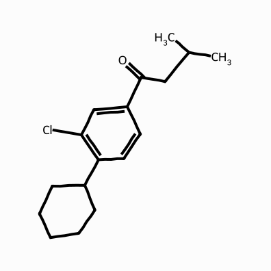 CC(C)CC(=O)c1ccc(C2CCCCC2)c(Cl)c1